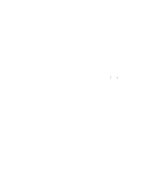 [C]1COc2ccc3c(c21)CCC=C3